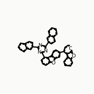 c1ccc2cc(-c3nc(-c4ccc5ccccc5c4)nc(-c4cccc5oc6cc(-c7cccc8oc9ccccc9c78)ccc6c45)n3)ccc2c1